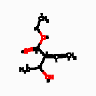 C=C=C(C(=O)OCC)C(C)O